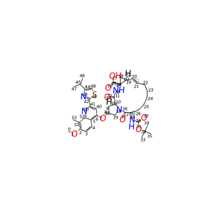 COc1ccc2c(O[C@@H]3C[C@H]4C(=O)N[C@]5(C(=O)O)C[C@H]5/C=C/CCCCC[C@H](NC(=O)OC(C)(C)C)C(=O)N4C3)cc(-c3nc(C(C)C)cs3)nc2c1C